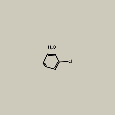 Clc1ccccc1.O